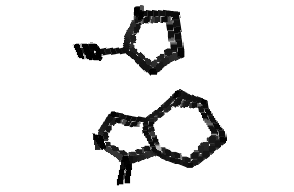 Oc1cccs1.c1ccc2[nH]ncc2c1